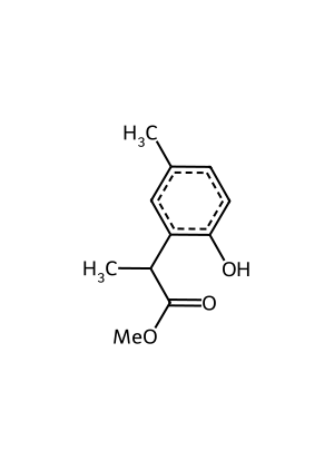 COC(=O)C(C)c1cc(C)ccc1O